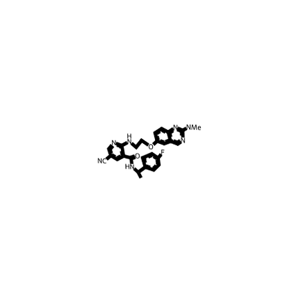 CNc1ncc2cc(OCCNc3ncc(C#N)cc3C(=O)NC(C)c3ccc(F)cc3)ccc2n1